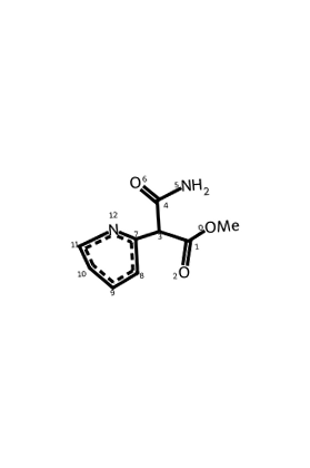 COC(=O)C(C(N)=O)c1ccccn1